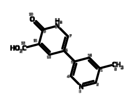 Cc1cncc(-c2c[nH]c(=O)c(C(=O)O)c2)c1